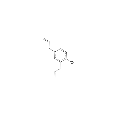 C=CCc1ccc([O])c(CC=C)c1